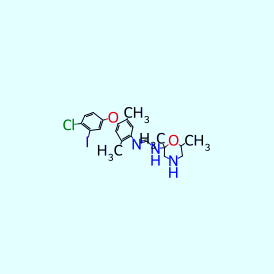 Cc1cc(Oc2ccc(Cl)c(I)c2)c(C)cc1/N=C/NC1(C)CNCC(C)O1